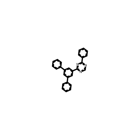 c1ccc(-c2cc(-c3ccccc3)cc(-c3ncnc(-c4ccccc4)n3)c2)cc1